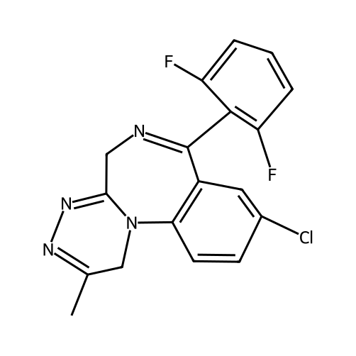 CC1=NN=C2CN=C(c3c(F)cccc3F)c3cc(Cl)ccc3N2C1